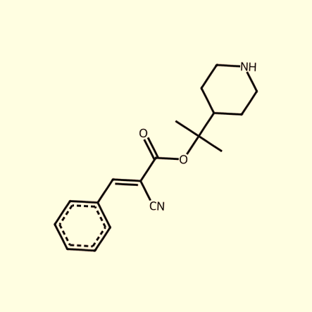 CC(C)(OC(=O)/C(C#N)=C/c1ccccc1)C1CCNCC1